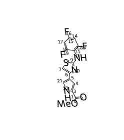 COC(=O)c1cc(-c2csc(Nc3c(F)cc(F)cc3F)n2)c[nH]1